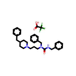 O=C(NCc1ccccc1)N(CCCN1CCC(Cc2ccccc2)CC1)Cc1ccccc1.O=C(O)C(F)(F)F